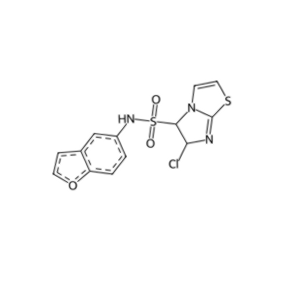 O=S(=O)(Nc1ccc2occc2c1)C1C(Cl)N=C2SC=CN21